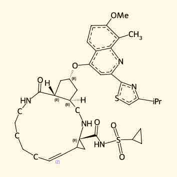 COc1ccc2c(O[C@@H]3C[C@H]4CN[C@]5(C(=O)NS(=O)(=O)C6CC6)CC5/C=C\CCCCCNC(=O)[C@@H]4C3)cc(-c3nc(C(C)C)cs3)nc2c1C